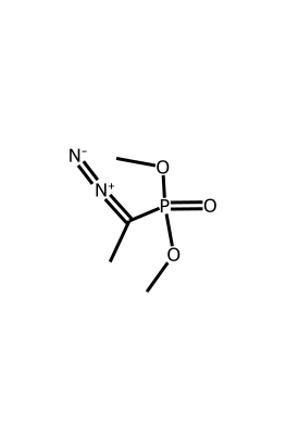 COP(=O)(OC)C(C)=[N+]=[N-]